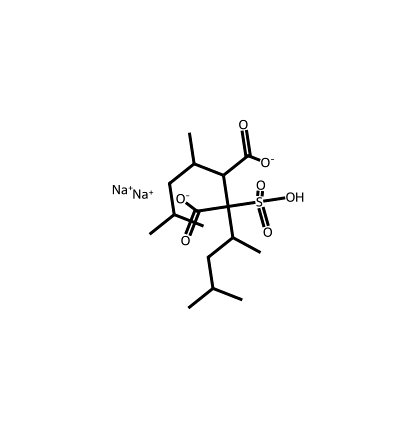 CC(C)CC(C)C(C(=O)[O-])C(C(=O)[O-])(C(C)CC(C)C)S(=O)(=O)O.[Na+].[Na+]